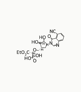 CCOC(=O)[C@H](OC[C@H]1C[C@@H](n2cnc3cccc(C#N)c3c2=O)[C@H](O)[C@@H]1O)P(=O)(O)O